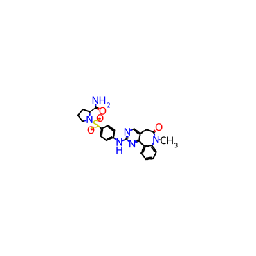 CN1C(=O)Cc2cnc(Nc3ccc(S(=O)(=O)N4CCC[C@H]4C(N)=O)cc3)nc2-c2ccccc21